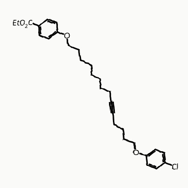 CCOC(=O)c1ccc(OCCCCCCCCC#CCCCCOc2ccc(Cl)cc2)cc1